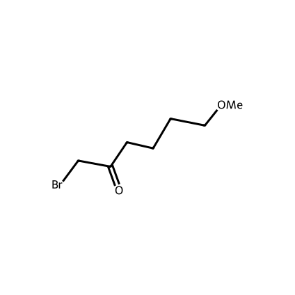 COCCCCC(=O)CBr